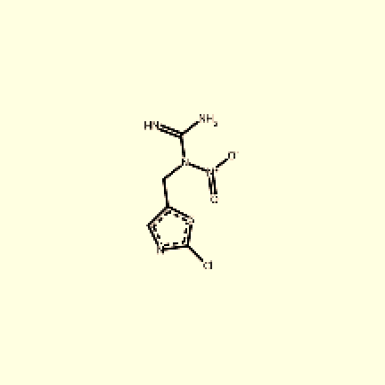 N=C(N)N(Cc1cnc(Cl)s1)[N+](=O)[O-]